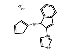 C1=CC[C]([Ti+2][CH]2C([PH]3=CNC=C3)=Cc3ccccc32)=C1.[Cl-].[Cl-]